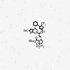 CCn1cc(-c2ccccc2[C@@H]2CN(C(=O)/C=C/[C@@H]3CCC(C)(C)N3C(=O)OC(C)(C)C)Cc3sc(C#N)cc32)c(C(F)(F)F)n1